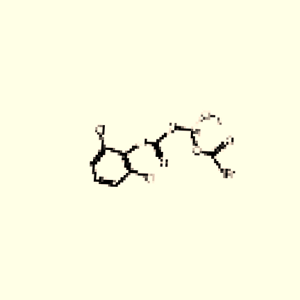 CC(C)C(=O)O[C@@H](C)OC(=O)Oc1c(Cl)cccc1Cl